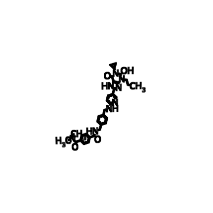 CCCN1c2nc(-c3ccc(NCc4ccc(CNC(=O)c5ccc(C(=O)N(C)C)cc5)cc4)nc3)[nH]c2C(=O)N(C2CC2)C1O